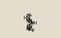 FC1(CNc2ncc3c(-c4ccn5ncc(C6CC6)c5n4)c[nH]c3n2)CC1